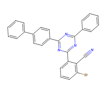 N#Cc1c(Br)cccc1-c1nc(-c2ccccc2)nc(-c2ccc(-c3ccccc3)cc2)n1